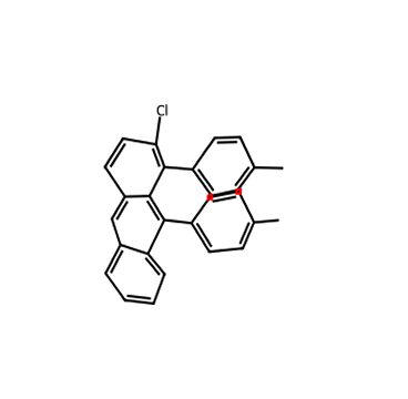 Cc1ccc(-c2c(Cl)ccc3cc4ccccc4c(-c4ccc(C)cc4)c23)cc1